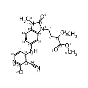 COC(=O)C(CCn1c(=O)n(C)c2ccc(Nc3ccnc(Cl)c3C#N)cc21)OC